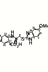 COc1ccc2[nH]c(SCC(=O)Nc3ccccc3C(=O)O)nc2c1